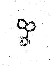 [c]1nc(-c2cccc3ccccc23)no1